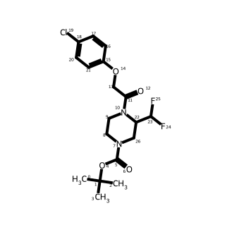 CC(C)(C)OC(=O)N1CCN(C(=O)COc2ccc(Cl)cc2)C(C(F)F)C1